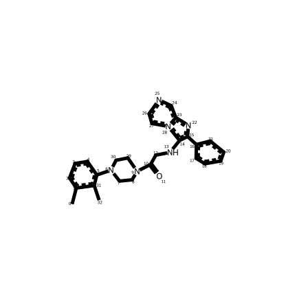 Cc1cccc(N2CCN(C(=O)CNc3c(-c4ccccc4)nc4cnccn34)CC2)c1C